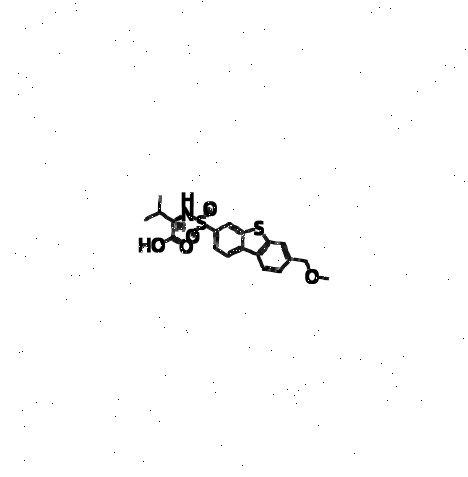 COCc1ccc2c(c1)sc1cc(S(=O)(=O)N[C@@H](C(=O)O)C(C)C)ccc12